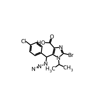 CC(C)n1c(Br)nc(C(=O)O)c1C(N=[N+]=[N-])c1ccc(Cl)cc1